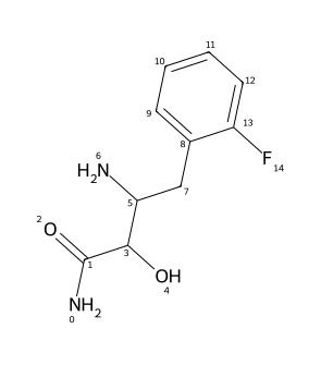 NC(=O)C(O)C(N)Cc1ccccc1F